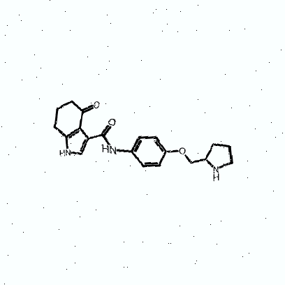 O=C(Nc1ccc(OCC2CCCN2)cc1)c1c[nH]c2c1C(=O)CCC2